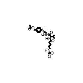 CC(=O)OCc1ccc(NC(=O)CNC(=O)C(NC(=O)CCCCNC(=O)CCl)C(C)C)cc1